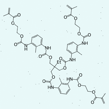 C=C(C)C(=O)OCCOC(=O)Nc1cccc(NC(=O)OCC(CC)(COC(=O)Nc2cccc(NC(=O)OCCOC(=O)C(=C)C)c2C)COC(=O)Nc2cccc(NC(=O)OCCOC(=O)C(=C)C)c2C)c1C